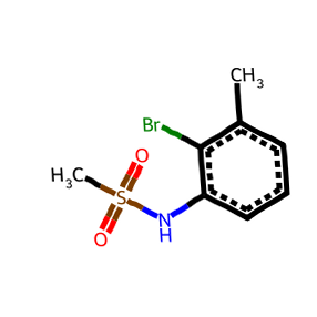 Cc1cccc(NS(C)(=O)=O)c1Br